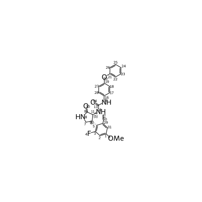 COc1cc(F)c([C@@H]2CNC(=O)[C@H]2NC(=O)Nc2ccc(Oc3ccccc3)cc2)c(F)c1